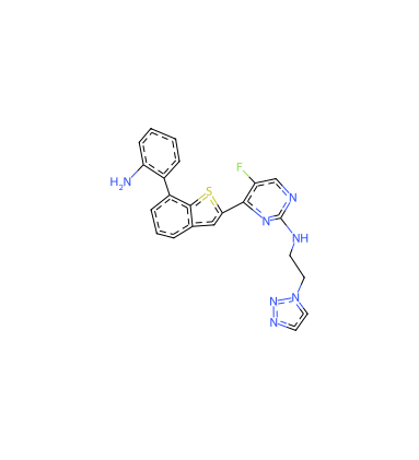 Nc1ccccc1-c1cccc2cc(-c3nc(NCCn4ccnn4)ncc3F)sc12